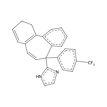 FC(F)(F)c1ccc(C2(c3ncc[nH]3)C=CC3=C(CCC=C3)c3ccccc32)cc1